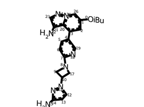 CC(C)COc1cc(-c2ccc(N3CC(n4ccc(N)n4)C3)nc2)c2c(N)cnn2c1